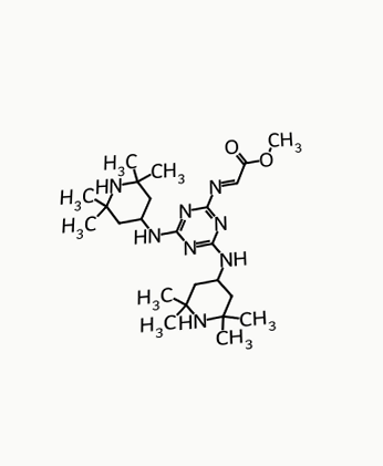 COC(=O)C=Nc1nc(NC2CC(C)(C)NC(C)(C)C2)nc(NC2CC(C)(C)NC(C)(C)C2)n1